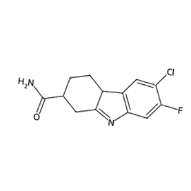 NC(=O)C1CCC2C(=Nc3cc(F)c(Cl)cc32)C1